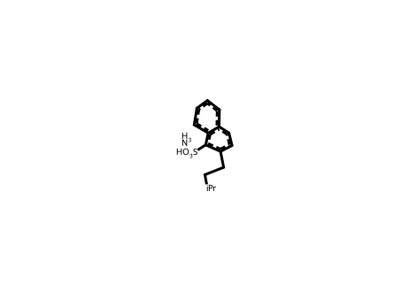 CC(C)CCc1ccc2ccccc2c1S(=O)(=O)O.N